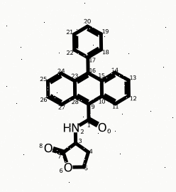 O=C(NC1CCOC1=O)c1c2ccccc2c(-c2ccccc2)c2ccccc12